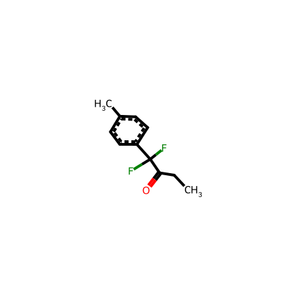 CCC(=O)C(F)(F)c1ccc(C)cc1